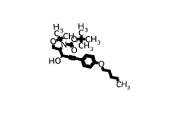 CCCCCOc1ccc(C#C[C@H](O)C2COC(C)(C)N2C(=O)OC(C)(C)C)cc1